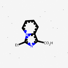 CCc1nc(C(=O)O)c2ccccn12